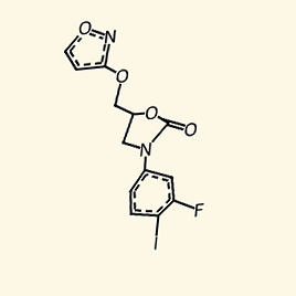 O=C1OC(COc2ccon2)CN1c1ccc(I)c(F)c1